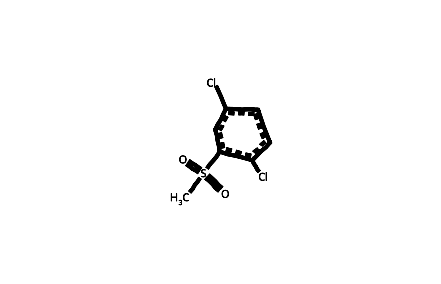 CS(=O)(=O)c1cc(Cl)ccc1Cl